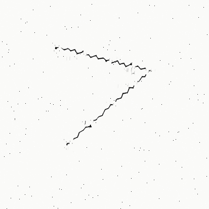 CCN(CCCNC(=O)[C@@H](N)CCCCNC(=O)CCCCCNC(=O)[C@@H](N)CCCCNC(=N)N)CCCNC(=O)[C@@H](N)CCCCNC(=O)CCCCCNC(=O)[C@@H](N)CCCCNC(=N)N